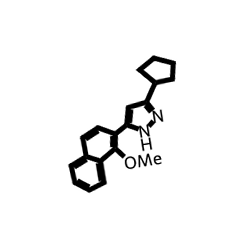 COc1c(-c2cc(C3CCCC3)n[nH]2)ccc2ccccc12